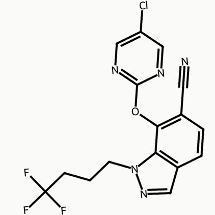 N#Cc1ccc2cnn(CCCC(F)(F)F)c2c1Oc1ncc(Cl)cn1